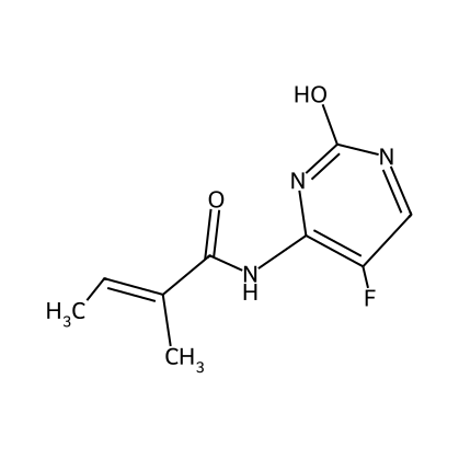 C/C=C(\C)C(=O)Nc1nc(O)ncc1F